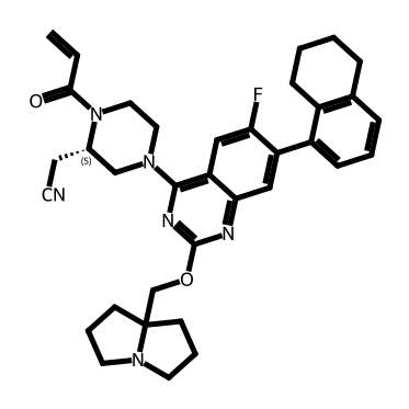 C=CC(=O)N1CCN(c2nc(OCC34CCCN3CCC4)nc3cc(-c4cccc5c4CCCC5)c(F)cc23)C[C@@H]1CC#N